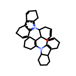 C1=CC2=C(CC1)C1CCCCC1N2C1=C(C2CC=CCC2n2c3c(c4c2CCC=C4)CCC=C3)CCCC1